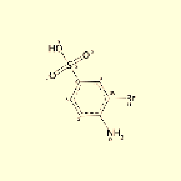 Nc1ccc(S(=O)(=O)O)cc1Br